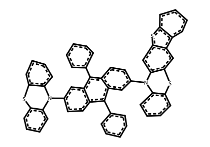 c1ccc(-c2c3ccc(N4c5ccccc5Sc5cc6c(cc54)sc4ccccc46)cc3c(-c3ccccc3)c3ccc(N4c5ccccc5Sc5ccccc54)cc23)cc1